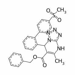 CC1=C(C(=O)OCc2ccccc2)C(c2ccccc2-c2ccc(S(C)(=O)=O)cc2)n2nnnc2N1